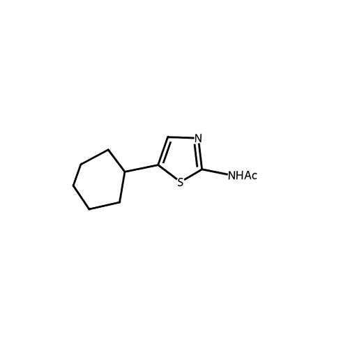 CC(=O)Nc1ncc(C2CCCCC2)s1